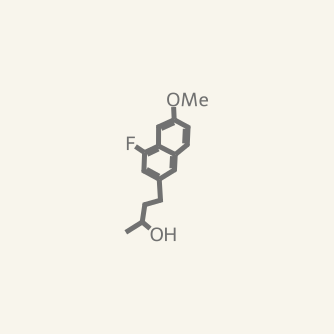 COc1ccc2cc(CCC(C)O)cc(F)c2c1